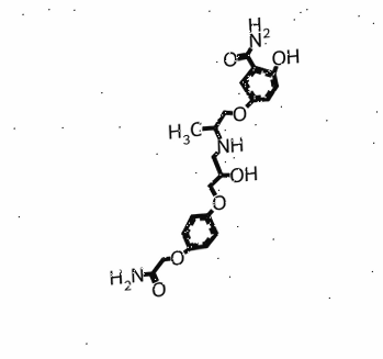 CC(COc1ccc(O)c(C(N)=O)c1)NCC(O)COc1ccc(OCC(N)=O)cc1